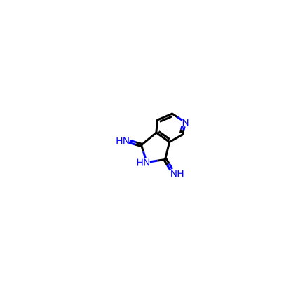 N=C1NC(=N)c2cnccc21